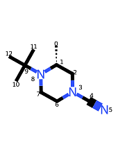 C[C@@H]1CN(C#N)CCN1C(C)(C)C